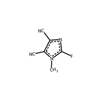 Cn1c(F)nc(C#N)c1C#N